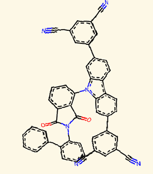 N#Cc1cc(C#N)cc(-c2ccc3c4ccc(-c5cc(C#N)cc(C#N)c5)cc4n(-c4cccc5c4C(=O)N(c4ccccc4-c4ccccc4)C5=O)c3c2)c1